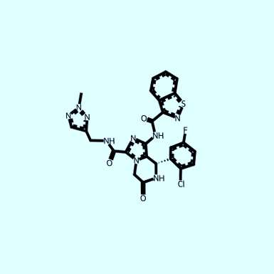 Cn1ncc(CNC(=O)c2nc(NC(=O)c3nsc4ccccc34)c3n2CC(=O)N[C@H]3c2cc(F)ccc2Cl)n1